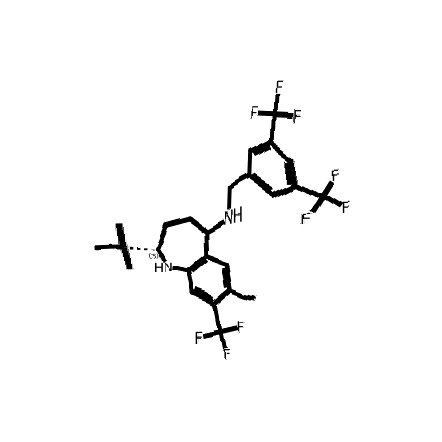 Cc1cc2c(cc1C(F)(F)F)N[C@H](C(C)(C)C)CCC2NCc1cc(C(F)(F)F)cc(C(F)(F)F)c1